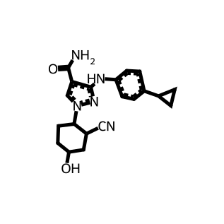 N#CC1CC(O)CCC1n1cc(C(N)=O)c(Nc2ccc(C3CC3)cc2)n1